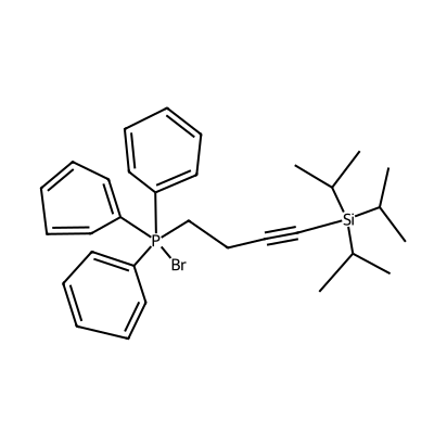 CC(C)[Si](C#CCCP(Br)(c1ccccc1)(c1ccccc1)c1ccccc1)(C(C)C)C(C)C